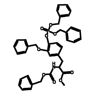 COC(=O)C(Cc1ccc(OP(=O)(OCc2ccccc2)OCc2ccccc2)c(OCc2ccccc2)c1)NC(=O)OCc1ccccc1